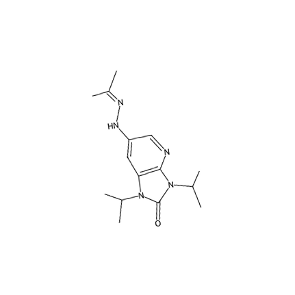 CC(C)=NNc1cnc2c(c1)n(C(C)C)c(=O)n2C(C)C